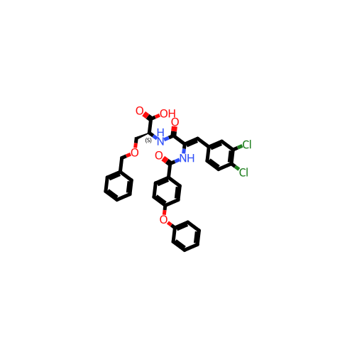 O=C(N[C@@H](COCc1ccccc1)C(=O)O)C(=Cc1ccc(Cl)c(Cl)c1)NC(=O)c1ccc(Oc2ccccc2)cc1